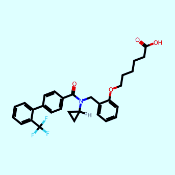 [2H]C1(N(Cc2ccccc2OCCCCCC(=O)O)C(=O)c2ccc(-c3ccccc3C(F)(F)F)cc2)CC1